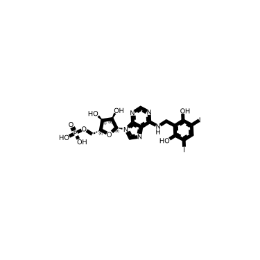 O=P(O)(O)OC[C@H]1O[C@@H](n2cnc3c(NCc4c(O)c(I)cc(I)c4O)ncnc32)[C@H](O)[C@@H]1O